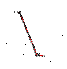 CCCCCCCCCCCC(CCCCCCCCCCC(=O)O)(C(=O)O)C(=O)NCCOCCOCCOCCOCCOCCOCCOCCOCCOCCOCCOCCOCCOCCOCCOCCOCCOCCOCCOCCOCCOCCOCCOCCOCCC(=O)ON